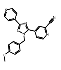 COc1ccc(Cn2nc(-c3ccncc3)nc2-c2ccnc(C#N)c2)cc1